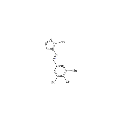 CCCc1nccn1/N=C/c1cc(C(C)(C)C)c(O)c(C(C)(C)C)c1